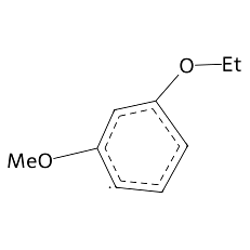 CCOc1cc[c]c(OC)c1